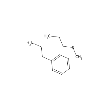 CCCSC.NCCc1ccccc1